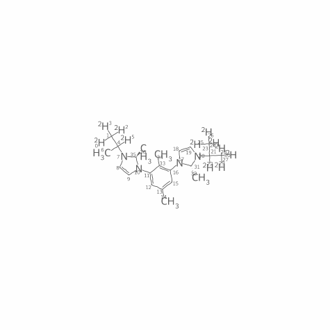 [2H]C([2H])([2H])C([2H])(C)N1C=CN(c2cc(C)cc(N3C=CN(C([2H])(C([2H])([2H])[2H])C([2H])([2H])[2H])[C@@H]3C)c2C)[C@@H]1C